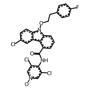 O=C(Nc1c(Cl)c[n+]([O-])cc1Cl)c1cccc2c1c1cc(Cl)ccc1n2OCCc1ccc(F)cc1